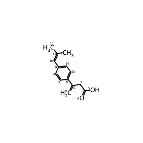 C=C(CC(=O)O)c1ccc(C=C(C)C)cc1